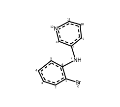 Brc1ccccc1Nc1cccnc1